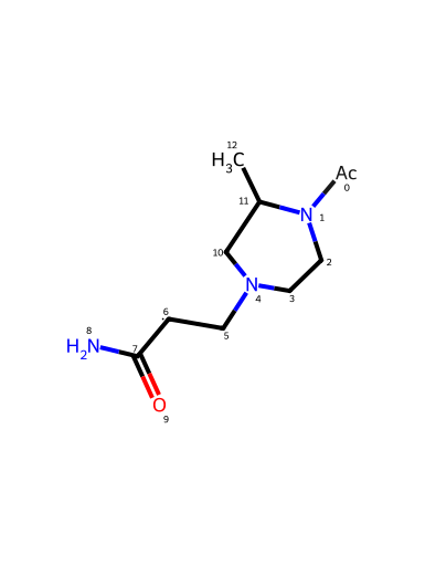 CC(=O)N1CCN(C[CH]C(N)=O)CC1C